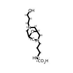 O=C(O)NCCCN1CC2CN(CCCO)CC(C1)O2